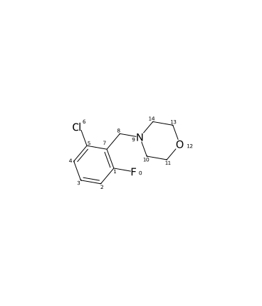 Fc1cccc(Cl)c1CN1CCOCC1